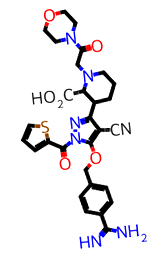 N#Cc1c(C2CCCN(CC(=O)N3CCOCC3)C2C(=O)O)nn(C(=O)c2cccs2)c1OCc1ccc(C(=N)N)cc1